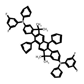 CC1(C)c2cc(N(c3ccccc3)c3cc(F)cc(F)c3)ccc2-c2c1cc1c(-c3ccccc3)c3c(cc1c2-c1ccccc1)C(C)(C)c1cc(N(c2ccccc2)c2cc(F)cc(F)c2)ccc1-3